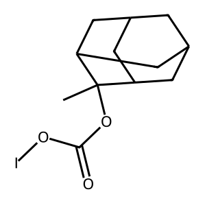 CC1(OC(=O)OI)C2CC3CC(C2)CC1C3